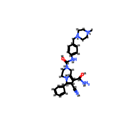 CN1CCN(Cc2ccc(NC(=O)N3CCn4c(c(C(N)=O)c(C#N)c4-c4ccccc4)C3)cc2)CC1